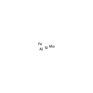 [Al].[Fe].[Mo].[Si]